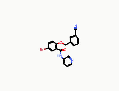 N#Cc1cccc(COc2ccc(Br)cc2C(=O)Nc2cccnc2)c1